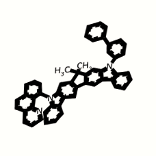 CC1(C)c2cc3c(cc2-c2cc4c5ccccc5n(-c5cccc6ccc7cccnc7c56)c4cc21)c1ccccc1n3-c1cccc(-c2ccccc2)c1